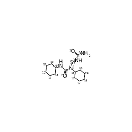 NC(=O)NSN(C(=O)NC1CCCCC1)C1CCCCC1